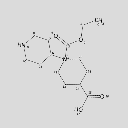 CCOC(=O)[N+]1(C2CCNCC2)CCC(C(=O)O)CC1